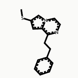 CSc1cc2c(CCc3ccccc3)nccn2c1